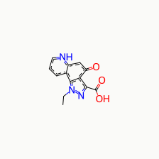 CCn1nc(C(=O)O)c2c(=O)cc3[nH]cccc-3c21